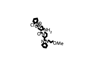 COCCCn1c(C2CCCN(C(=O)[C@@H]3CN(S(=O)(=O)c4ccccc4Cl)C[C@H]3N)C2)nc2ccccc21